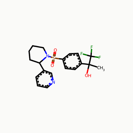 CC(O)(c1ccc(S(=O)(=O)N2CCCCC2c2cccnc2)cc1)C(F)(F)F